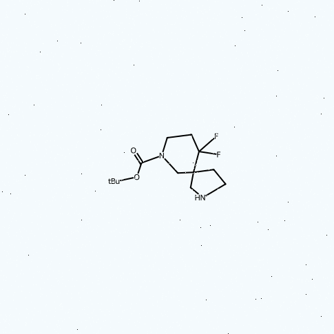 CC(C)(C)OC(=O)N1CCC(F)(F)C2(CCNC2)C1